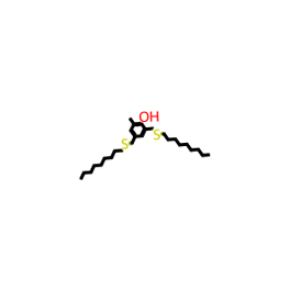 CCCCCCCCCSCc1cc(C)c(O)c(CSCCCCCCCCC)c1